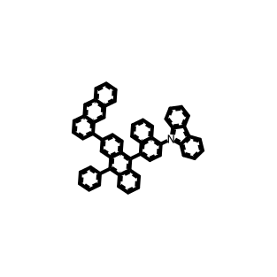 c1ccc(-c2c3ccccc3c(-c3ccc(-n4c5ccccc5c5ccccc54)c4ccccc34)c3ccc(-c4cccc5cc6ccccc6cc45)cc23)cc1